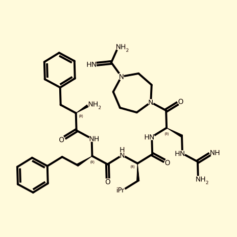 CC(C)C[C@@H](NC(=O)[C@@H](CCc1ccccc1)NC(=O)[C@H](N)Cc1ccccc1)C(=O)N[C@H](CNC(=N)N)C(=O)N1CCCN(C(=N)N)CC1